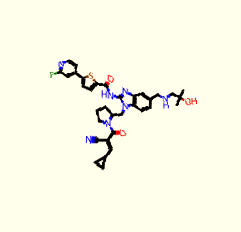 CC(C)(O)CNCc1ccc2c(c1)nc(NC(=O)c1ccc(-c3ccnc(F)c3)s1)n2CC1CCCN1C(=O)C(C#N)=CC1CC1